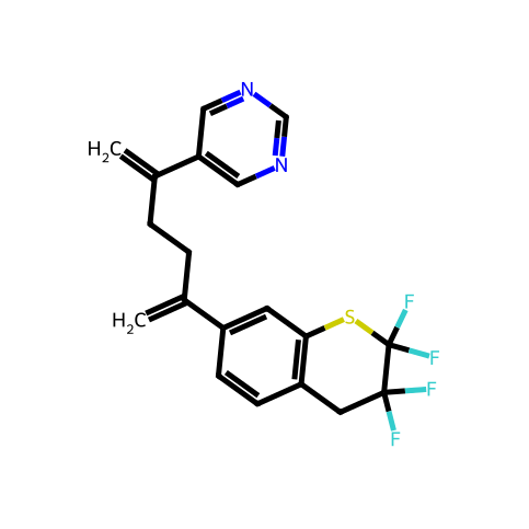 C=C(CCC(=C)c1ccc2c(c1)SC(F)(F)C(F)(F)C2)c1cncnc1